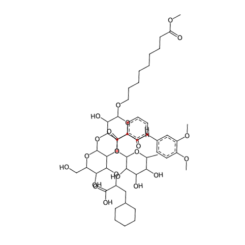 COC(=O)CCCCCCCCOC1OC(C(=O)Nc2ccc(OC)c(OC)c2)C(OC2OC(C)C(O)C(O)C2O)C(OC2OC(CO)C(O)C(OC(CC3CCCCC3)C(=O)O)C2OC(=O)c2ccccc2)C1O